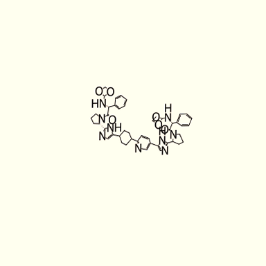 O=C([C@H](NC1OCO1)c1ccccc1)N1CCCC1c1ncc(-c2ccc(C3CCC(c4cnc([C@@H]5CCCN5C(=O)[C@H](NC5OCO5)c5ccccc5)[nH]4)CC3)nc2)[nH]1